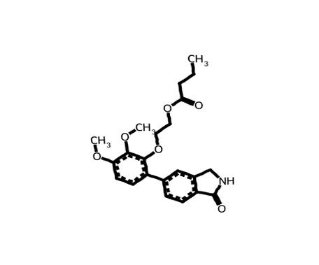 CCCC(=O)OCCOc1c(-c2ccc3c(c2)CNC3=O)ccc(OC)c1OC